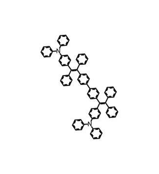 c1ccc(C(=C(c2ccc(-c3ccc(/C(=C(\c4ccccc4)c4ccc(N(c5ccccc5)c5ccccc5)cc4)c4ccccc4)cc3)cc2)c2ccc(N(c3ccccc3)c3ccccc3)cc2)c2ccccc2)cc1